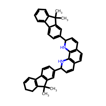 CC1(C)C2=C(C=CCC2)c2ccc(C3C=Cc4ccc5c(c4N3)NC(c3ccc4c(c3)C(C)(C)c3ccccc3-4)C=C5)cc21